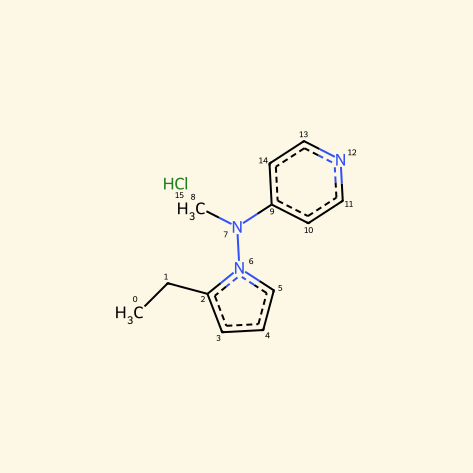 CCc1cccn1N(C)c1ccncc1.Cl